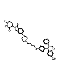 O=C1CCC(N2Cc3cc(N4CCN(CCCCOc5ccc(C6c7ccc(O)cc7OCC6c6ccccc6)cc5)CC4)ccc3C2=O)C(=O)N1